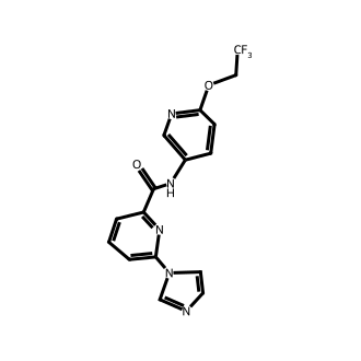 O=C(Nc1ccc(OCC(F)(F)F)nc1)c1cccc(-n2ccnc2)n1